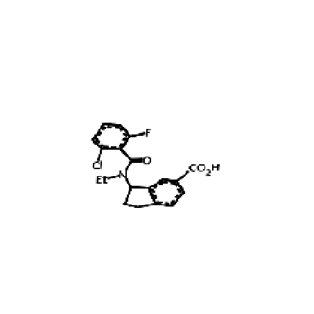 CCN(C(=O)c1c(F)cccc1Cl)C1CCc2ccc(C(=O)O)cc21